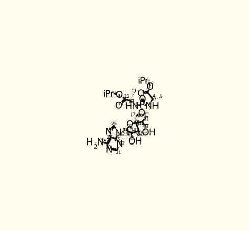 CC(C)OC(=O)[C@H](C)NP(=O)(N[C@@H](C)C(=O)OC(C)C)OC[C@@]1(C(F)F)O[C@@H](n2cnc3c(N)ncnc32)[C@H](O)[C@H]1O